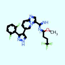 CO/C(CCC(F)(F)F)=N\C(=N)c1cnc2ccc(-c3c[nH]nc3-c3c(F)cccc3F)cn12